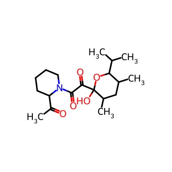 CC(=O)C1CCCCN1C(=O)C(=O)C1(O)OC(C(C)C)C(C)CC1C